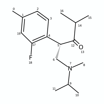 Cc1ccc([C@@H](CN(C)C(C)C)C(=O)C(C)C)c(F)c1